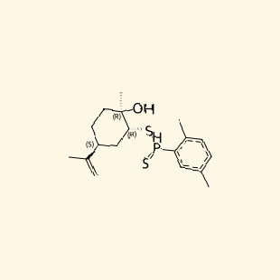 C=C(C)[C@H]1CC[C@@](C)(O)[C@H](S[PH](=S)c2cc(C)ccc2C)C1